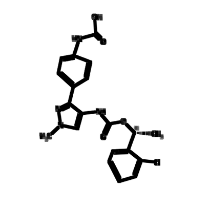 C[C@@H](OC(=O)Nc1cn(C)nc1-c1ccc(NC(=O)O)cc1)c1ccccc1Cl